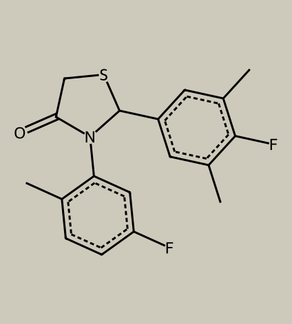 Cc1ccc(F)cc1N1C(=O)CSC1c1cc(C)c(F)c(C)c1